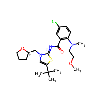 COCCN(C)c1ccc(Cl)cc1C(=O)/N=c1\sc(C(C)(C)C)cn1C[C@H]1CCCO1